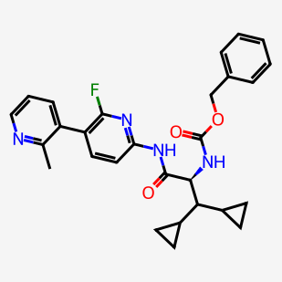 Cc1ncccc1-c1ccc(NC(=O)[C@@H](NC(=O)OCc2ccccc2)C(C2CC2)C2CC2)nc1F